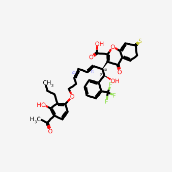 CCCc1c(OCC/C=C\C=C\[C@@H](c2c(C(=O)O)oc3c(c2=O)=CCC(=S)C=3)[C@@H](O)c2ccccc2C(F)(F)F)ccc(C(C)=O)c1O